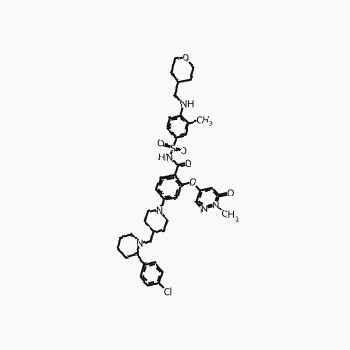 Cc1cc(S(=O)(=O)NC(=O)c2ccc(N3CCC(CN4CCCCC4c4ccc(Cl)cc4)CC3)cc2Oc2cnn(C)c(=O)c2)ccc1NCC1CCOCC1